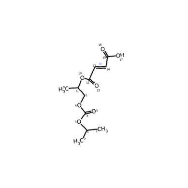 CC(C)OC(=O)OCC(C)OC(=O)/C=C/C(=O)O